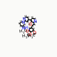 COc1cc(-c2cc3nccc(-c4ccnc(N5CCCC(N)C5)c4)c3o2)cc(OC)c1OC